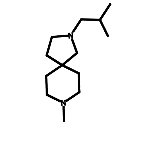 CC(C)CN1CCC2(CCN(C)CC2)C1